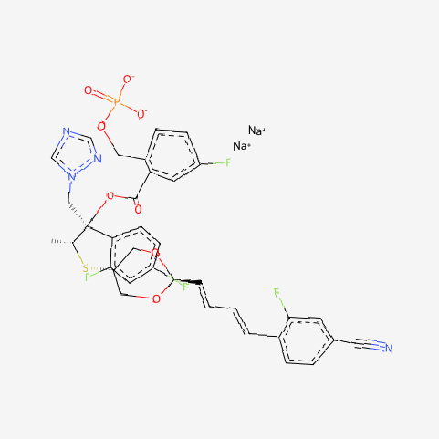 C[C@@H](S[C@H]1CO[C@H](C=CC=Cc2ccc(C#N)cc2F)OC1)[C@@](Cn1cncn1)(OC(=O)c1cc(F)ccc1COP(=O)([O-])[O-])c1ccc(F)cc1F.[Na+].[Na+]